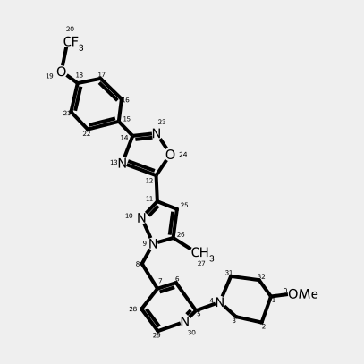 COC1CCN(c2cc(Cn3nc(-c4nc(-c5ccc(OC(F)(F)F)cc5)no4)cc3C)ccn2)CC1